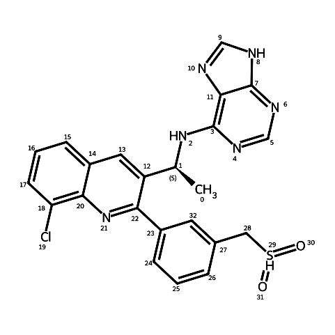 C[C@H](Nc1ncnc2[nH]cnc12)c1cc2cccc(Cl)c2nc1-c1cccc(C[SH](=O)=O)c1